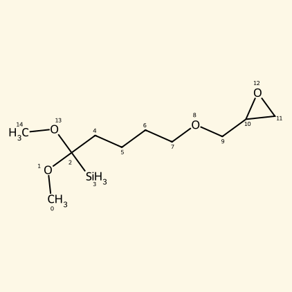 COC([SiH3])(CCCCOCC1CO1)OC